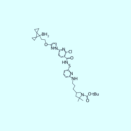 BC1(CCOc2ccn(-c3ccc(C(=O)NSc4cccc(NCCCC5CN(C(=O)OC(C)(C)C)C(C)(C)C5)n4)c(Cl)n3)n2)C2(CC2)C12CC2